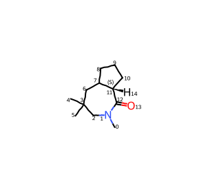 CN1CC(C)(C)CC2CCC[C@@H]2C1=O